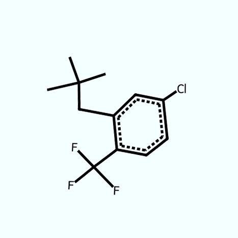 CC(C)(C)Cc1cc(Cl)ccc1C(F)(F)F